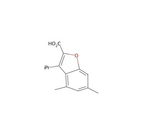 Cc1cc(C)c2c(C(C)C)c(C(=O)O)oc2c1